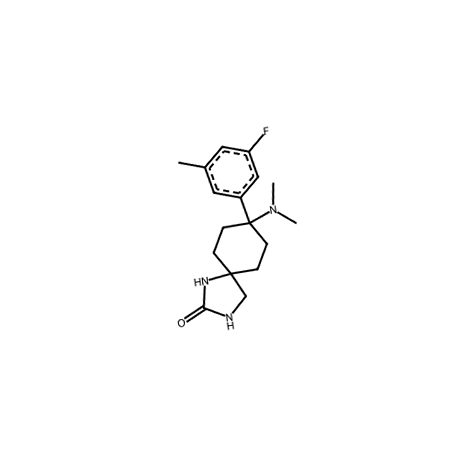 Cc1cc(F)cc(C2(N(C)C)CCC3(CC2)CNC(=O)N3)c1